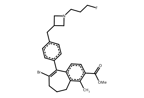 COC(=O)c1ccc2c(c1C)CCCC(Br)=C2c1ccc(CC2CN(CCCF)C2)cc1